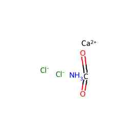 N.O=C=O.[Ca+2].[Cl-].[Cl-]